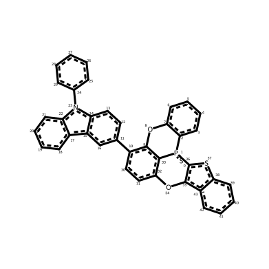 S=P12c3ccccc3Oc3c(-c4ccc5c(c4)c4ccccc4n5-c4ccccc4)ccc(c31)Oc1c2sc2ccccc12